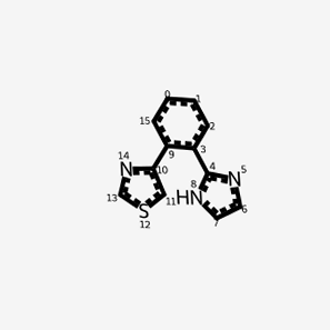 c1ccc(-c2ncc[nH]2)c(-c2cscn2)c1